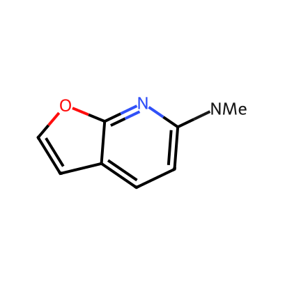 CNc1ccc2ccoc2n1